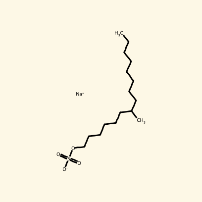 CCCCCCCCC(C)CCCCCCOS(=O)(=O)[O-].[Na+]